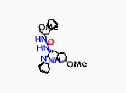 COCC(Cc1ccccc1)NC(=O)N[C@H](Cc1ccc(OC)cc1)c1nc2ccccc2[nH]1